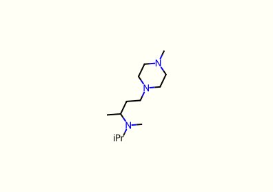 CC(C)N(C)C(C)CCN1CCN(C)CC1